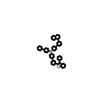 c1ccc(-c2ccc(N(c3ccc(-c4cccc(-c5oc6ccccc6c5-c5ccccc5)c4)cc3)c3ccc(-c4cccc(-c5cccc6ccccc56)c4)cc3)cc2)cc1